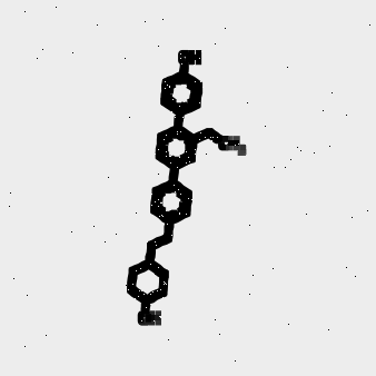 CCc1cc(-c2ccc(CCC3CCC(O)CC3)cc2)ccc1-c1ccc(O)cc1